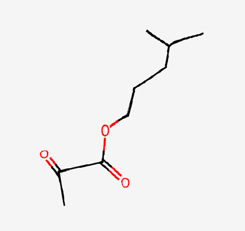 CC(=O)C(=O)OCCCC(C)C